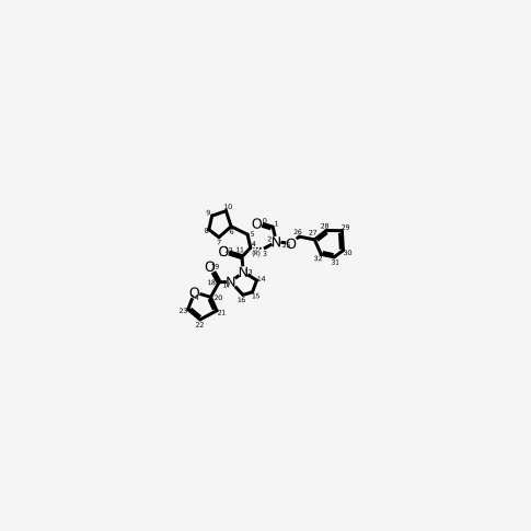 O=CN(C[C@@H](CC1CCCC1)C(=O)N1CCCN1C(=O)c1ccco1)OCc1ccccc1